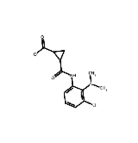 CN(C)c1c(Cl)cccc1NC(=O)C1CC1C(=O)O